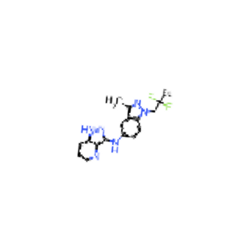 CCC(F)(F)Cn1nc(C)c2cc(Nc3n[nH]c4cccnc34)ccc21